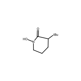 CC(C)(C)C1CCCN(O)C1=O